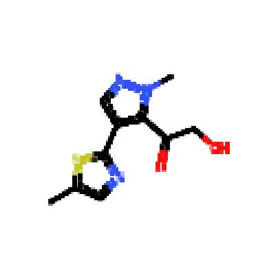 Cc1cnc(-c2cnn(C)c2C(=O)CO)s1